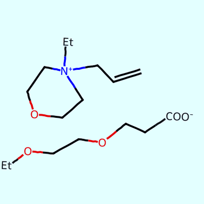 C=CC[N+]1(CC)CCOCC1.CCOCCOCCC(=O)[O-]